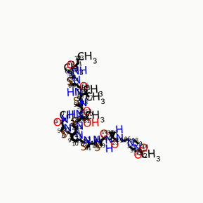 C=NC(=O)c1csc(-c2ccc(-c3nc(-c4nc(C(=O)NC5(C(=O)NCCN6CCN(S(C)(=O)=O)CC6)CC5)cs4)cs3)nc2-c2csc([C@@H](NC(=O)c3csc([C@@H](NC(=O)c4csc(/C(=C/C)NC(=O)CCC)n4)C(C)C)n3)[C@@H](C)O)n2)n1